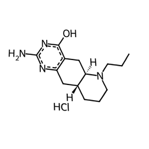 CCCN1CCC[C@@H]2Cc3nc(N)nc(O)c3C[C@H]21.Cl